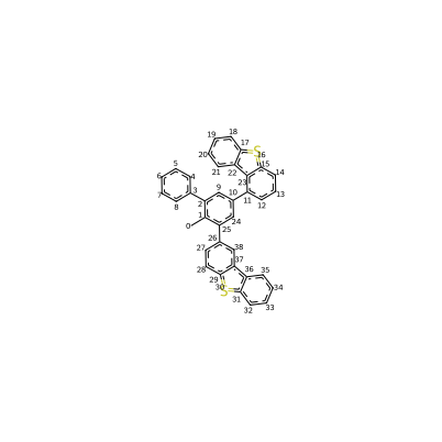 Cc1c(-c2ccccc2)cc(-c2cccc3sc4ccccc4c23)cc1-c1ccc2sc3ccccc3c2c1